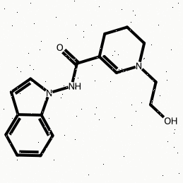 O=C(Nn1ccc2ccccc21)C1=CN(CCO)CCC1